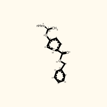 CCCCCC[C@@H](C)Oc1ccc(C(=O)OCc2ccccc2)cc1